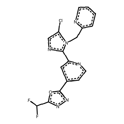 FC(F)c1nnc(-c2ccnc(-c3ncc(Cl)n3Cc3ccccn3)c2)o1